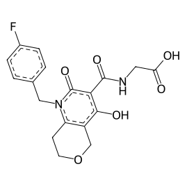 O=C(O)CNC(=O)c1c(O)c2c(n(Cc3ccc(F)cc3)c1=O)CCOC2